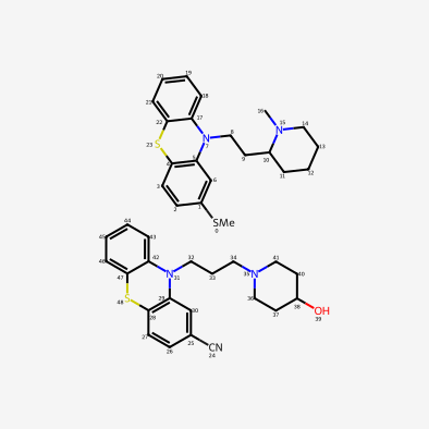 CSc1ccc2c(c1)N(CCC1CCCCN1C)c1ccccc1S2.N#Cc1ccc2c(c1)N(CCCN1CCC(O)CC1)c1ccccc1S2